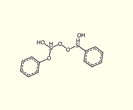 O[SiH](OO[SiH](O)c1ccccc1)Oc1ccccc1